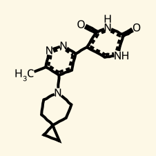 Cc1nnc(-c2c[nH]c(=O)[nH]c2=O)cc1N1CCC2(CC1)CC2